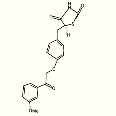 [2H][C@@]1(Cc2ccc(OCC(=O)c3cccc(OC)c3)cc2)SC(=O)NC1=O